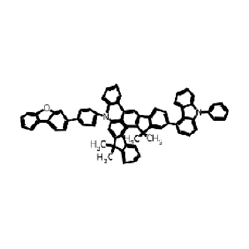 CC1(C)c2ccc(-c3ccccc3N(c3ccc(-c4ccc5c(c4)oc4ccccc45)cc3)c3ccc4c(c3)C(C)(C)c3ccccc3-4)cc2-c2ccc(-c3cccc4c3c3ccccc3n4-c3ccccc3)cc21